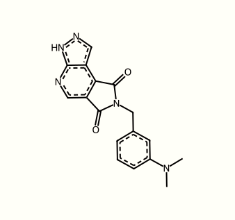 CN(C)c1cccc(CN2C(=O)c3cnc4[nH]ncc4c3C2=O)c1